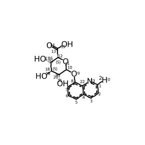 [2H]c1ccc2cccc(OC3O[C@H](C(=O)O)[C@@H](O)[C@H](O)[C@H]3O)c2n1